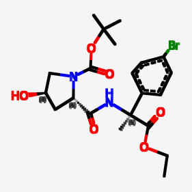 CCOC(=O)[C@@](C)(NC(=O)[C@@H]1C[C@@H](O)CN1C(=O)OC(C)(C)C)c1ccc(Br)cc1